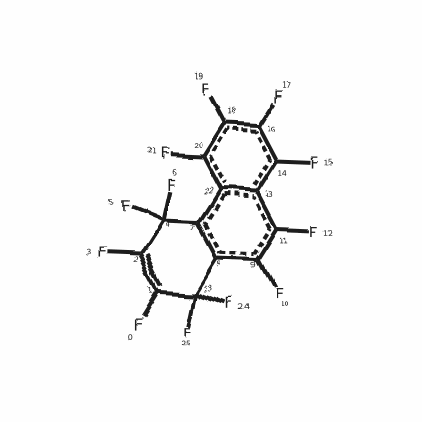 FC1=C(F)C(F)(F)c2c(c(F)c(F)c3c(F)c(F)c(F)c(F)c23)C1(F)F